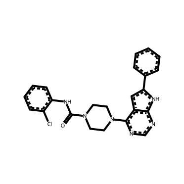 O=C(Nc1ccccc1Cl)N1CCN(c2ncnc3[nH]c(-c4ccccc4)cc23)CC1